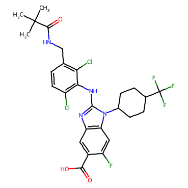 CC(C)(C)C(=O)NCc1ccc(Cl)c(Nc2nc3cc(C(=O)O)c(F)cc3n2C2CCC(C(F)(F)F)CC2)c1Cl